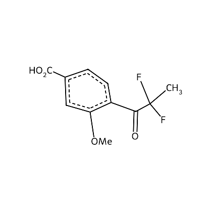 COc1cc(C(=O)O)ccc1C(=O)C(C)(F)F